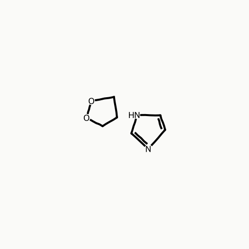 C1COOC1.c1c[nH]cn1